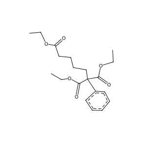 CCOC(=O)CCCCC(C(=O)OCC)(C(=O)OCC)c1ccccc1